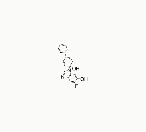 Oc1cc2c(cc1F)ncn2C1(O)C=CC(c2ccccc2)=CC1